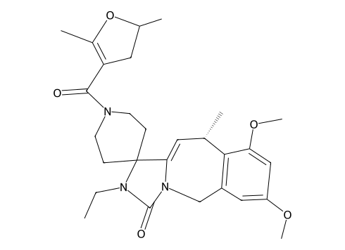 CCN1C(=O)N2Cc3cc(OC)cc(OC)c3[C@@H](C)C=C2C12CCN(C(=O)C1=C(C)OC(C)C1)CC2